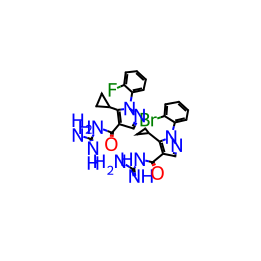 N=C(N)NC(=O)c1cnn(-c2ccccc2Br)c1C1CC1.N=C(N)NC(=O)c1cnn(-c2ccccc2F)c1C1CC1